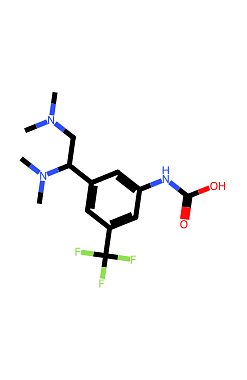 CN(C)CC(c1cc(NC(=O)O)cc(C(F)(F)F)c1)N(C)C